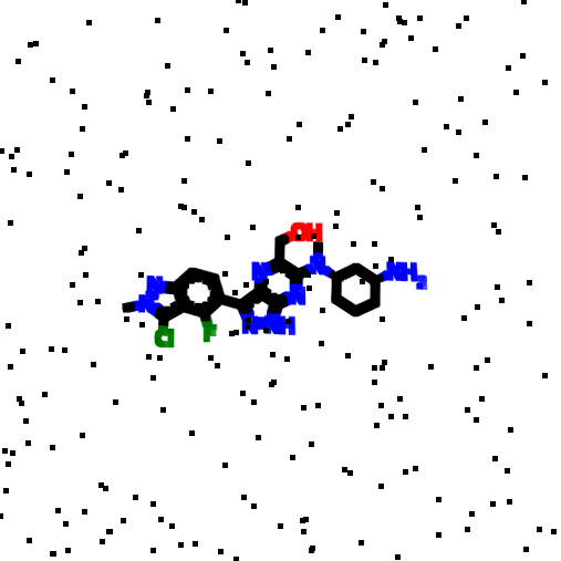 CN(c1nc2[nH]nc(-c3ccc4nn(C)c(Cl)c4c3F)c2nc1CO)[C@@H]1CCC[C@H](N)C1